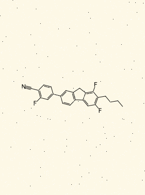 CCCCc1c(F)cc2c(c1F)Cc1cc(-c3ccc(C#N)c(F)c3)ccc1-2